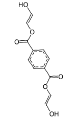 O=C(OC=CO)c1ccc(C(=O)OC=CO)cc1